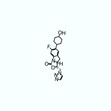 O=C1O[C@@H](Cn2ccnn2)[C@@H]2Cc3cc(C4CCC(O)CC4)c(F)cc3N12